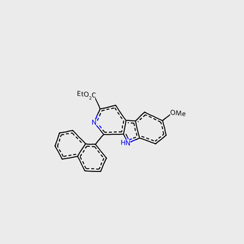 CCOC(=O)c1cc2c([nH]c3ccc(OC)cc32)c(-c2cccc3ccccc23)n1